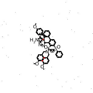 COc1ccc(CN(Cc2ccc(OC)cc2)S(=O)(=O)c2c(S(=O)(=O)c3ccccc3)ccc(-c3cccc4sc(N)nc34)c2-c2nnnn2Cc2ccc(OC)cc2)cc1